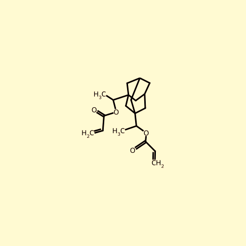 C=CC(=O)OC(C)C12CC3CC(C1)CC(C(C)OC(=O)C=C)(C3)C2